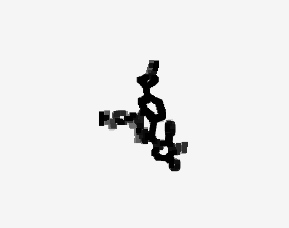 Cn1nc(N2CCC(=O)NC2=O)c2ccc(C3CNC3)cc21